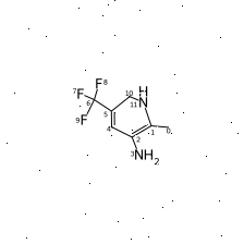 CC1=C(N)C=C(C(F)(F)F)CN1